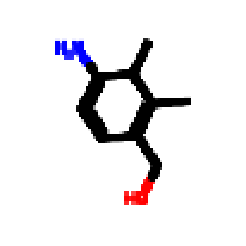 CC1=C(CO)C=C=C(N)C1C